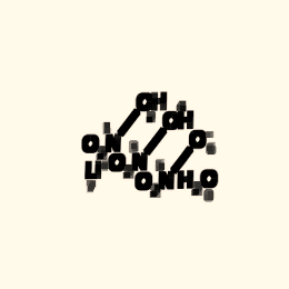 O.O=[N+]([O-])O.O=[N+]([O-])O.O=[N+]([O-])[O-].[Li+]